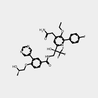 CCOc1c(CC(N)=O)cc([C@@](O)(CNC(=O)c2ccc(OC[C@@H](C)O)c(-c3cncnc3)c2)C(F)(F)F)nc1-c1ccc(F)cc1